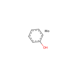 Oc1ccccc1.[Mo]